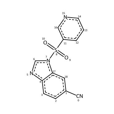 N#Cc1ccc2ncn(S(=O)(=O)c3cccnc3)c2c1